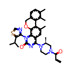 C=CC(=O)N1CCN(c2nc(=O)n(-c3ncsc3C(C)C)c3c4c(c(C)cc23)-c2c(ccc(C)c2C)CO4)[C@@H](C)C1